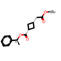 C[C@H](OC(=O)[C@H]1C[C@@H](CC(=O)OC(C)(C)C)C1)c1ccccc1